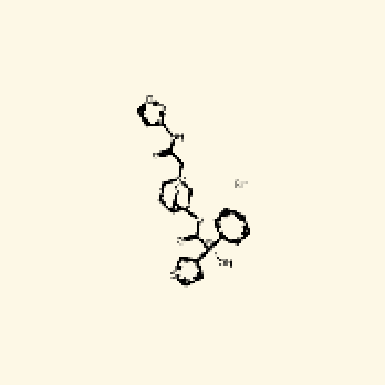 O=C(C[N+]12CCC(CC1)C(OC(=O)[C@@](O)(c1ccccc1)c1ccsc1)C2)Nc1ccon1.[Br-]